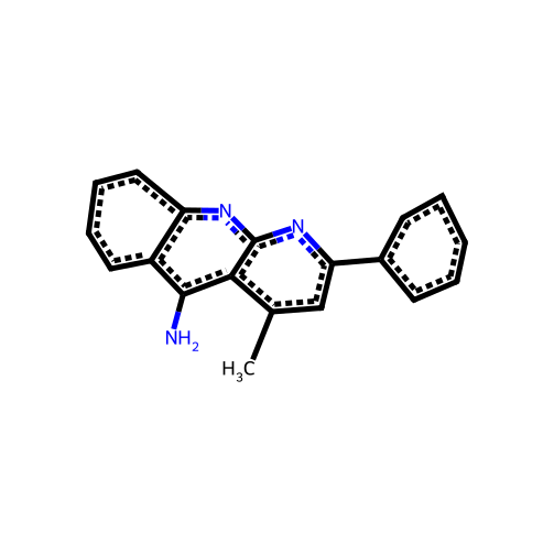 Cc1cc(-c2ccccc2)nc2nc3ccccc3c(N)c12